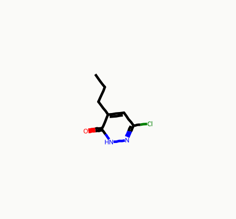 CCCc1cc(Cl)n[nH]c1=O